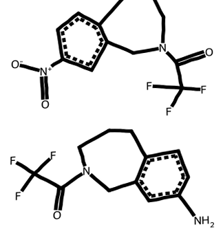 Nc1ccc2c(c1)CN(C(=O)C(F)(F)F)CCC2.O=C(N1CCCc2ccc([N+](=O)[O-])cc2C1)C(F)(F)F